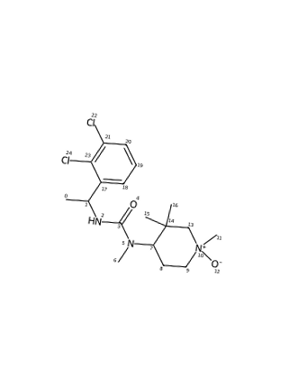 CC(NC(=O)N(C)C1CC[N+](C)([O-])CC1(C)C)c1cccc(Cl)c1Cl